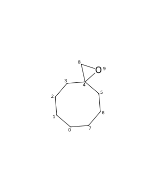 C1CCCC2(CCC1)CO2